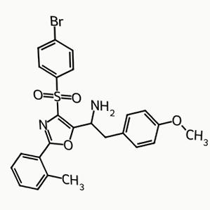 COc1ccc(CC(N)c2oc(-c3ccccc3C)nc2S(=O)(=O)c2ccc(Br)cc2)cc1